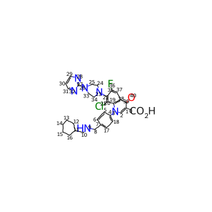 O=C(O)c1cn(-c2ccc(CNCC3CCCCC3)cc2)c2c(Cl)c(N3CCN(c4ncccn4)CC3)c(F)cc2c1=O